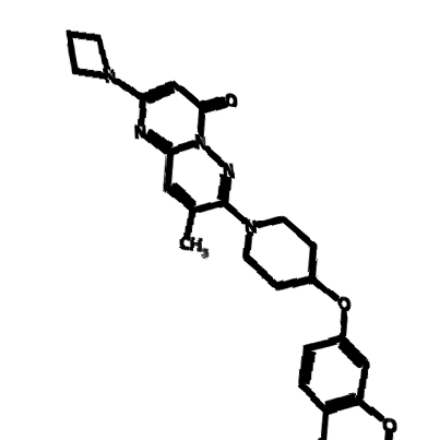 Cc1cc2nc(N3CCC3)cc(=O)n2nc1N1CCC(Oc2ccc3c(c2)OCCO3)CC1